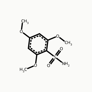 COc1cc(OC)c(S(N)(=O)=O)c(OC)c1